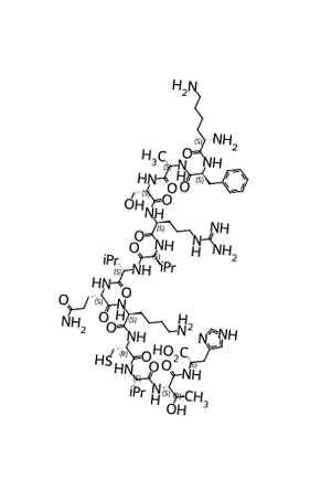 CC(C)[C@H](NC(=O)[C@H](CCCNC(=N)N)NC(=O)[C@H](CO)NC(=O)[C@H](C)NC(=O)[C@H](Cc1ccccc1)NC(=O)[C@@H](N)CCCCN)C(=O)N[C@H](C(=O)N[C@@H](CCC(N)=O)C(=O)N[C@@H](CCCCN)C(=O)N[C@@H](CS)C(=O)N[C@H](C(=O)N[C@H](C(=O)N[C@@H](Cc1c[nH]cn1)C(=O)O)[C@@H](C)O)C(C)C)C(C)C